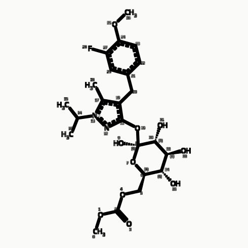 COC(=O)OC[C@H]1O[C@@](O)(Oc2nn(C(C)C)c(C)c2Cc2ccc(OC)c(F)c2)[C@H](O)[C@@H](O)[C@@H]1O